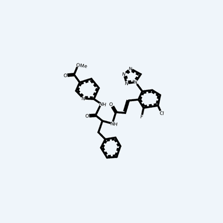 COC(=O)c1ccc(NC(=O)C(Cc2ccccc2)NC(=O)C=Cc2c(-n3cnnn3)ccc(Cl)c2F)nc1